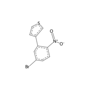 O=[N+]([O-])c1ccc(Br)cc1-c1ccsc1